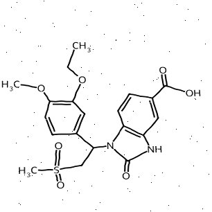 CCOc1cc(C(CS(C)(=O)=O)n2c(=O)[nH]c3cc(C(=O)O)ccc32)ccc1OC